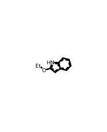 CCOc1[c]c2ccccc2[nH]1